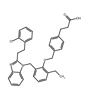 CCc1cccc(Cn2c(CCc3ccccc3Cl)nc3ccccc32)c1OCc1ccc(CCC(=O)O)cc1